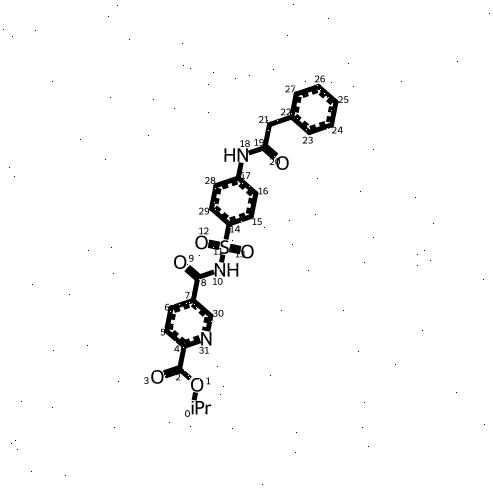 CC(C)OC(=O)c1ccc(C(=O)NS(=O)(=O)c2ccc(NC(=O)Cc3ccccc3)cc2)cn1